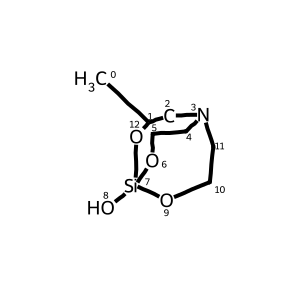 CC1CN2CCO[Si](O)(OCC2)O1